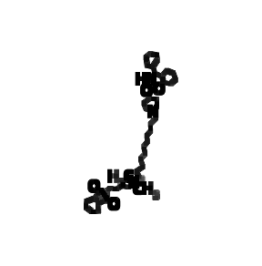 C[N+](C)(CCCCCCCCCCCN1CCC(OC(=O)NC(c2ccccc2)c2ccccc2)CC1)CCCCN1C(=O)c2ccccc2C1=O